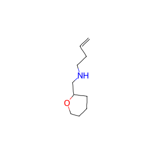 C=CCCNCC1CCCCO1